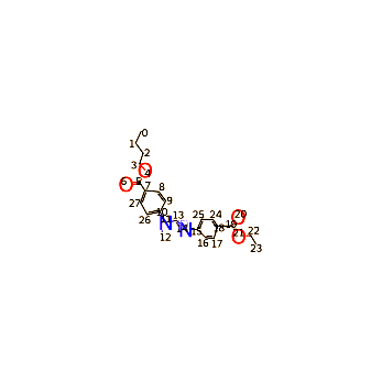 CCCCOC(=O)c1ccc(N(C)/C=N/c2ccc(C(=O)OCC)cc2)cc1